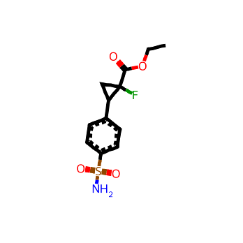 CCOC(=O)C1(F)CC1c1ccc(S(N)(=O)=O)cc1